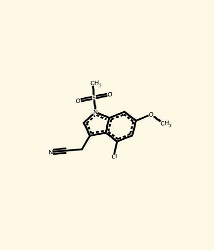 COc1cc(Cl)c2c(CC#N)cn(S(C)(=O)=O)c2c1